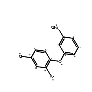 O=Cc1cccc(Oc2ccc(Cl)cc2Br)c1